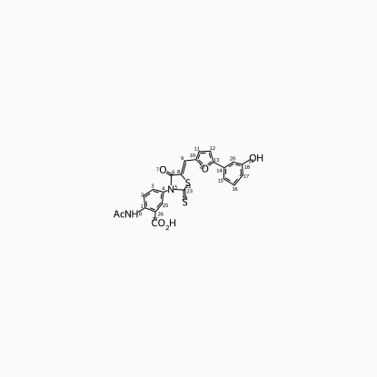 CC(=O)Nc1ccc(N2C(=O)C(=Cc3ccc(-c4cccc(O)c4)o3)SC2=S)cc1C(=O)O